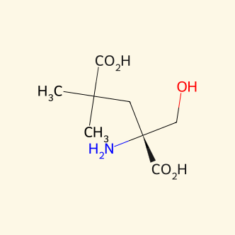 CC(C)(C[C@@](N)(CO)C(=O)O)C(=O)O